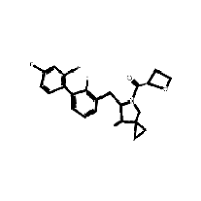 CC1C(Cc2cccc(-c3ccc(F)cc3F)c2F)N(C(=O)[C@H]2CCO2)CC12CC2